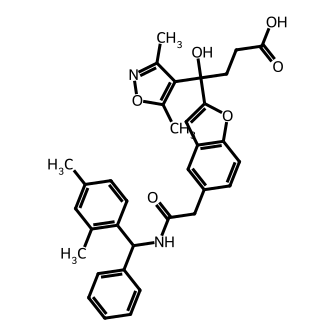 Cc1ccc(C(NC(=O)Cc2ccc3oc(C(O)(CCC(=O)O)c4c(C)noc4C)cc3c2)c2ccccc2)c(C)c1